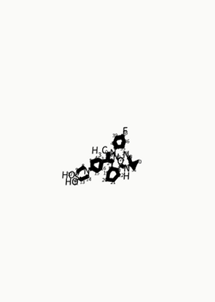 Cc1c(-c2ccc(N3CCS(O)(O)CC3)cc2)c([C@@H]2CCCC[C@H]2C(=O)NC2(C#N)CC2)nn1-c1ccc(F)cc1